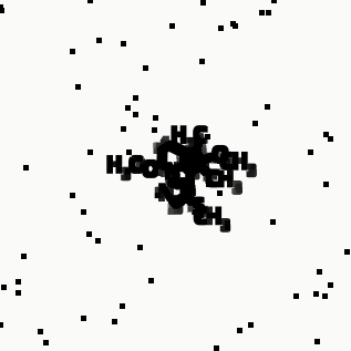 COC1=CC=CC23CC(C)=C(OC)C(C)=C2n2c(SC)cnc2N13